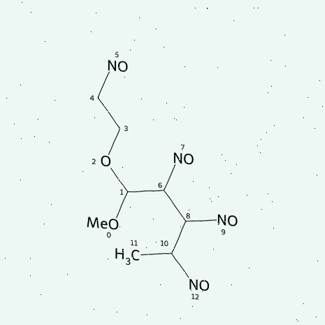 COC(OCCN=O)C(N=O)C(N=O)C(C)N=O